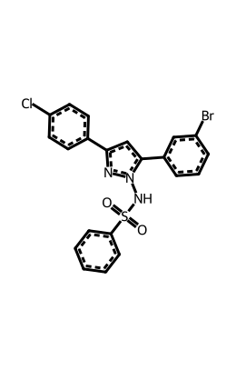 O=S(=O)(Nn1nc(-c2ccc(Cl)cc2)cc1-c1cccc(Br)c1)c1ccccc1